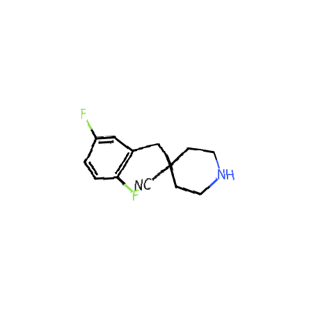 N#CC1(Cc2cc(F)ccc2F)CCNCC1